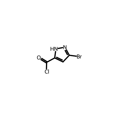 O=C(Cl)c1cc(Br)n[nH]1